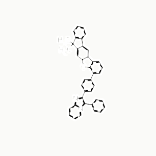 CC1(C)C2=CC3Oc4c(-c5ccc(-c6nc7ccccn7c6-c6ccccc6)cc5)cccc4C3C=C2c2ccccc21